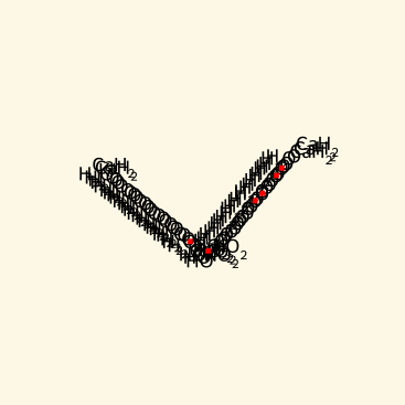 O.O.O.O.O.O.O.O.O.O.O.O.O.O.O.O.O.O.O.O.O.O.O.O.O.O.O.O.O.O.O.O.O.O.O.O.O.O.O.O.O.O.O.O.O.O.O.O.O.O.O=[N+]([O-])O.O=[N+]([O-])O.O=[N+]([O-])O.O=[N+]([O-])O.O=[N+]([O-])[O-].[CaH2].[CaH2].[CaH2].[CaH2].[CaH2].[K+]